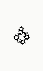 C[C@H]1CCCN1c1cccc(Nc2nc(N3CCCC(O)C3)nc3scnc23)c1